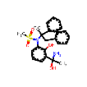 CC(N)(O)c1cccc(N(C(Cc2ccccc2)(c2ccccc2)C(F)(F)F)S(C)(=O)=O)c1O